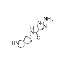 Nc1ncc(C(=O)Nc2ccc3c(c2)CNCC3)cn1